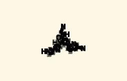 N#CCNC(=O)c1cnc(-c2ccc3cc(C#N)cnn23)cc1Nc1cnn(C2CCNC2)c1